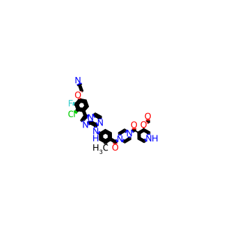 Cc1cc(Nc2nccn3c(-c4ccc(OCC#N)c(F)c4Cl)cnc23)ccc1C(=O)N1CCN(C(=O)[C@@H]2CCNC[C@@H]2OC=O)CC1